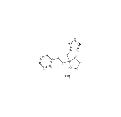 Br.c1ccc(CCC2(Cn3ccnc3)OCCO2)cc1